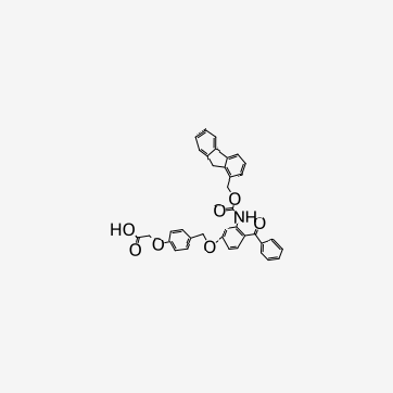 O=C(O)COc1ccc(COc2ccc(C(=O)c3ccccc3)c(NC(=O)OCc3cccc4c3Cc3ccccc3-4)c2)cc1